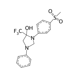 CS(=O)(=O)c1ccc(N2CN(c3ccccc3)CC2(O)C(F)(F)F)cc1